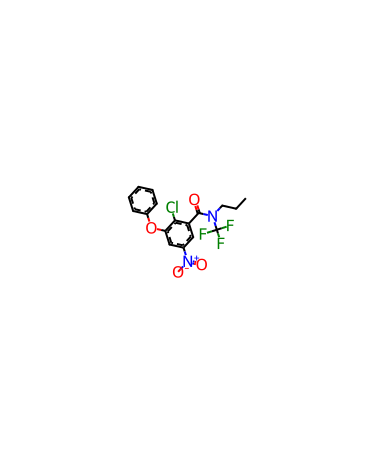 CCCN(C(=O)c1cc([N+](=O)[O-])cc(Oc2ccccc2)c1Cl)C(F)(F)F